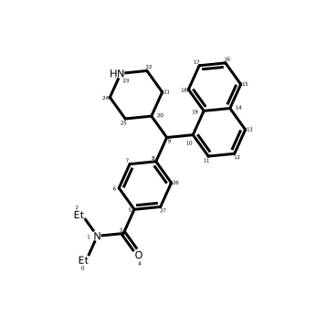 CCN(CC)C(=O)c1ccc(C(c2cccc3ccccc23)C2CCNCC2)cc1